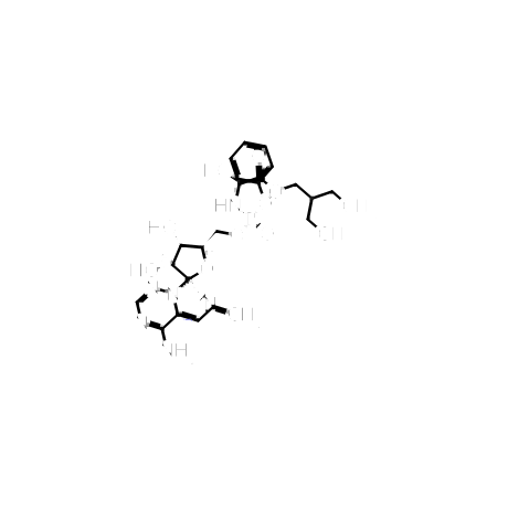 C=C/C=C1/C(N)=NC=NN1[C@]1(C#N)O[C@H](CO[P@@](=O)(N[C@@H](C)C(=O)OCC(CC)CC)Oc2ccccc2)[C@@H](O)[C@H]1O